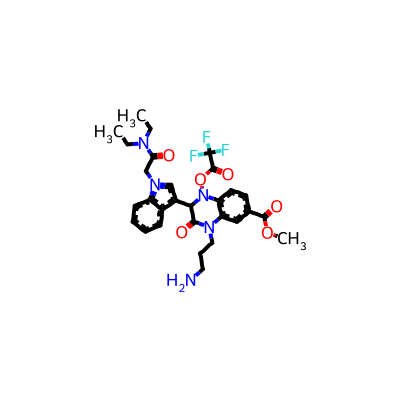 CCN(CC)C(=O)Cn1cc(C2C(=O)N(CCCN)c3cc(C(=O)OC)ccc3N2OC(=O)C(F)(F)F)c2ccccc21